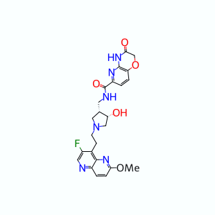 COc1ccc2ncc(F)c(CCN3C[C@H](CNC(=O)c4ccc5c(n4)NC(=O)CO5)[C@H](O)C3)c2n1